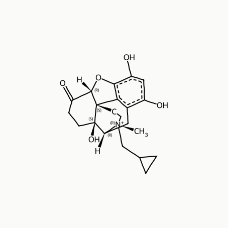 C[N@+]1(CC2CC2)CC[C@]23c4c5c(O)cc(O)c4O[C@H]2C(=O)CC[C@@]3(O)[C@H]1C5